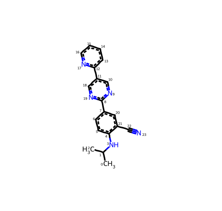 CC(C)Nc1ccc(-c2ncc(-c3ccccn3)cn2)cc1C#N